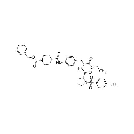 CCOC(=O)[C@H](Cc1ccc(NC(=O)C2CCN(C(=O)OCc3ccccc3)CC2)cc1)NC(=O)[C@@H]1CCCN1S(=O)(=O)c1ccc(C)cc1